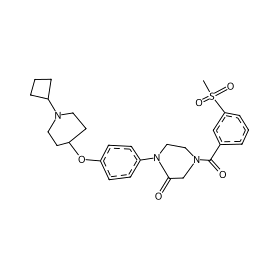 CS(=O)(=O)c1cccc(C(=O)N2CCN(c3ccc(OC4CCN(C5CCC5)CC4)cc3)C(=O)C2)c1